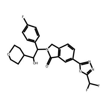 O=C1c2cc(-c3nnc(C(F)F)o3)ccc2CN1C(c1ccc(F)cc1)C(O)C1CCOCC1